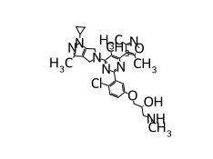 CNC[C@@H](O)COc1ccc(Cl)c(-c2nc(-c3c(C)noc3C)c(C)c(N3Cc4c(C)nn(C5CC5)c4C3)n2)c1